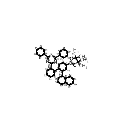 CC1(C)OB(c2ccc(-c3ccccc3-c3nc(-c4ccccc4)nc(-c4ccccc4)n3)c(-c3cccc4ccccc34)c2)OC1(C)C